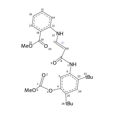 COC(=O)Oc1cc(NC(=O)/C=C/Nc2ccccc2C(=O)OC)c(C(C)(C)C)cc1C(C)(C)C